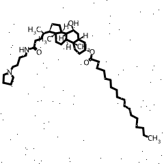 CCCCCCCCCCCCCCCCCC(=O)O[C@@H]1CC[C@@]2(C)[C@@H](C1)C[C@H](O)[C@@H]1[C@@H]2CC[C@]2(C)[C@@H]([C@H](C)CCC(=O)NCCCCN3CCCC3)CC[C@@H]12